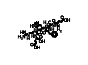 C[C@H](NC(=O)[C@@H](N)CCC(=O)O)C(=O)N[C@@H](Cc1ccccc1)C(=O)N[C@@H](Cc1c[nH]cn1)C(=O)N[C@@H](CCCNC(=N)N)C(=O)N[C@@H](CCC(=O)O)C(=O)O